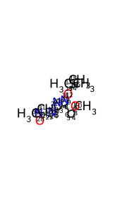 COc1ccccc1-c1cn(COCC[Si](C)(C)C)c2ncc(N3CCC(C(=O)N(C)C)C3)cc12